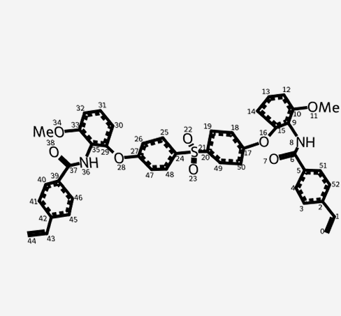 C=Cc1ccc(C(=O)Nc2c(OC)cccc2Oc2ccc(S(=O)(=O)c3ccc(Oc4cccc(OC)c4NC(=O)c4ccc(C=C)cc4)cc3)cc2)cc1